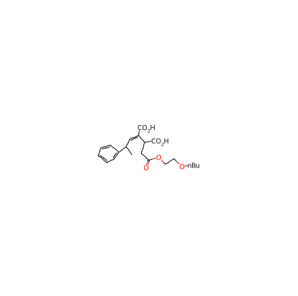 CCCCOCCOC(=O)CC(C(=O)O)C(=CC(C)c1ccccc1)C(=O)O